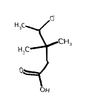 CC(Cl)C(C)(C)CC(=O)O